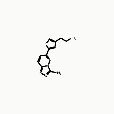 CCCc1csc(-c2ccc3nnc(N)n3n2)c1